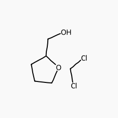 ClCCl.OCC1CCCO1